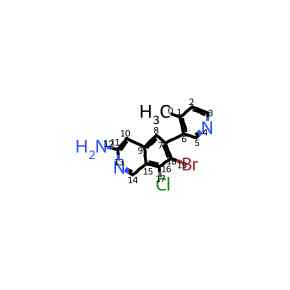 Cc1ccncc1-c1cc2cc(N)ncc2c(Cl)c1Br